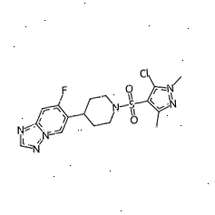 Cc1nn(C)c(Cl)c1S(=O)(=O)N1CCC(c2cn3ncnc3cc2F)CC1